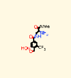 CNC(=O)[C@@H](N)CNC(=O)c1cc2c(c(C(F)(F)F)c1)COB2O